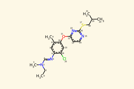 CCN(C)C=Nc1cc(C)c(Oc2ccnc(SCC(C)C)n2)cc1Cl